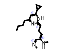 CCCCC(=N)/C=C(\N/C=C/C/C=C(\C=N/C)NC)C1CC1